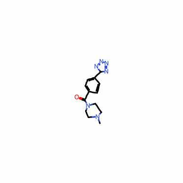 CN1CCN(C(=O)c2ccc(C3N=NN=N3)cc2)CC1